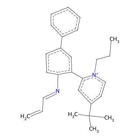 C=C/C=N/c1ccc(-c2ccccc2)cc1-c1cc(C(C)(C)C)cc[n+]1CCC